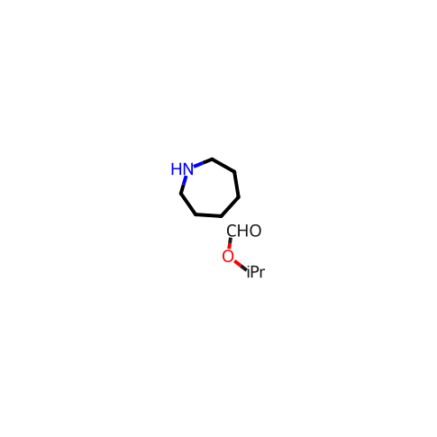 C1CCCNCC1.CC(C)OC=O